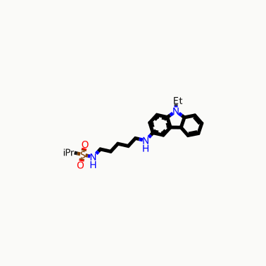 CCN1c2ccc(NCCCCCNS(=O)(=O)C(C)C)cc2C2C=CC=CC21